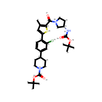 Cc1cc(-c2ccc(C3CCN(C(=O)OC(C)(C)C)CC3)cc2Cl)sc1C(=O)N1CC[C@H](NC(=O)OC(C)(C)C)C1